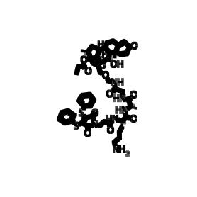 CCC(=O)OC1(CC(=O)COCNC(=O)CNC(=O)[C@H](C)NC(=O)[C@H](CCCCN)NC(=O)CCN2C(=O)C(Sc3ccccc3)=C(Sc3ccccc3)C2=O)[C@@H](C)CC2[C@@H]3CCC4=CC(=O)C=C[C@]4(C)[C@@]3(Cl)[C@@H](O)C[C@@]21C